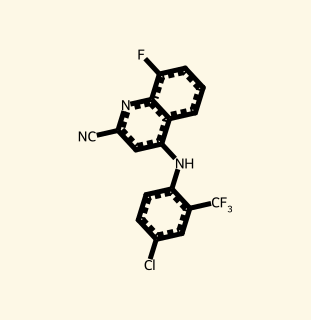 N#Cc1cc(Nc2ccc(Cl)cc2C(F)(F)F)c2cccc(F)c2n1